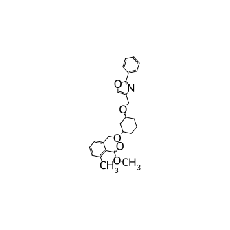 COC(=O)c1c(C)cccc1CO[C@@H]1CCC[C@H](OCc2coc(-c3ccccc3)n2)C1